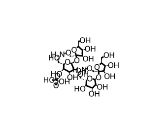 NOC[C@]1(O[C@@H]2O[C@@H](CO)[C@H](O)[C@@H](O)[C@@H]2O)O[C@@H](CO)[C@H](O)[C@H]1O.NOC[C@]1(O[C@@H]2O[C@@H](CO)[C@H](O)[C@@H](O)[C@@H]2O)O[C@@H](CO)[C@H](O)[C@H]1O.O=S(=O)(O)O